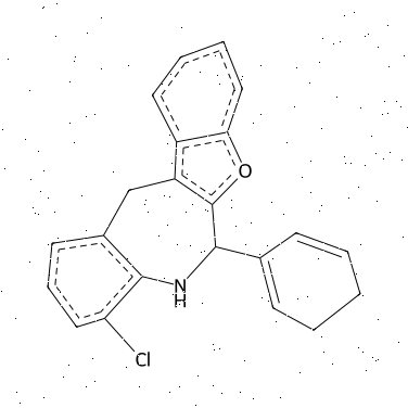 Clc1cccc2c1NC(C1=CCCC=C1)c1oc3ccccc3c1C2